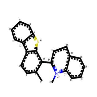 Cc1ccc2c(sc3ccccc32)c1-c1ccc2ccccc2[n+]1C